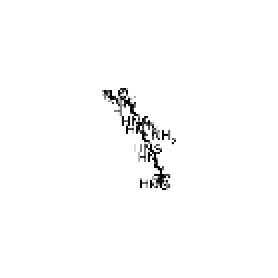 CC(C)(CCCNC(=S)NCCCNC(=S)NCCCC(C)(C)C(=O)NC#N)C(=O)O.N#CN